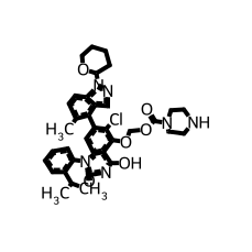 Cc1ccc2c(cnn2C2CCCCO2)c1-c1cc2c(c(O)nc(=O)n2-c2ccccc2C(C)C)c(OCOC(=O)N2CCNCC2)c1Cl